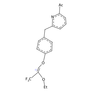 CCO/C(=C\Oc1ccc(Cc2cccc(C(C)=O)n2)cc1)C(F)(F)F